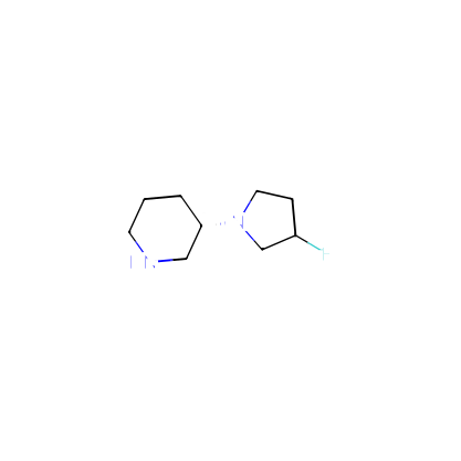 FC1CCN([C@H]2CCCNC2)C1